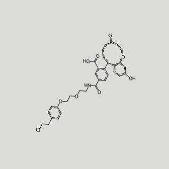 O=C(NCCOCCOc1ccc(CCCl)cc1)c1ccc(-c2cccc(=O)ccoc3cc(O)ccc23)c(C(=O)O)c1